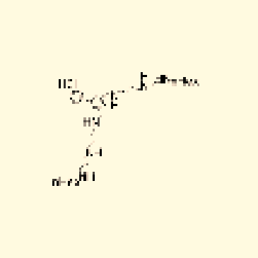 CCCCCCNCCCNCCCCNCc1cc(CNCCCCNCCCNCCCCCC)cc(-c2ccccc2)c1.Cl